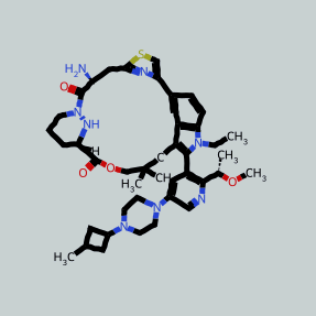 CCn1c(-c2cc(N3CCN(C4CC(C)C4)CC3)cnc2[C@H](C)OC)c2c3cc(ccc31)-c1csc(n1)C[C@H](N)C(=O)N1CCC[C@H](N1)C(=O)OCC(C)(C)C2